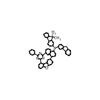 CC1(C)c2ccccc2-c2ccc(N(c3ccc(-c4ccc5oc6cccc(-c7nc(-c8ccccc8)nc(-c8ccccc8)n7)c6c5c4)cc3)c3ccc4c(c3)-c3ccccc3C4)cc21